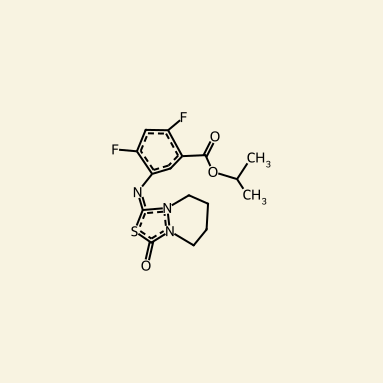 CC(C)OC(=O)c1cc(/N=c2/sc(=O)n3n2CCCC3)c(F)cc1F